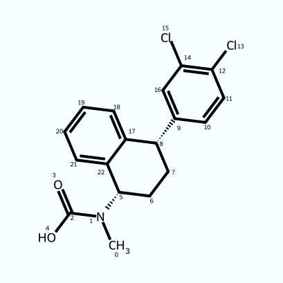 CN(C(=O)O)[C@H]1CC[C@@H](c2ccc(Cl)c(Cl)c2)c2ccccc21